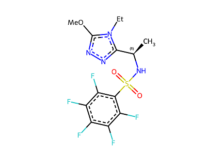 CCn1c(OC)nnc1[C@@H](C)NS(=O)(=O)c1c(F)c(F)c(F)c(F)c1F